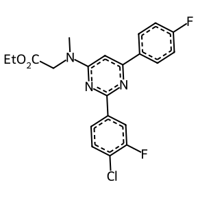 CCOC(=O)CN(C)c1cc(-c2ccc(F)cc2)nc(-c2ccc(Cl)c(F)c2)n1